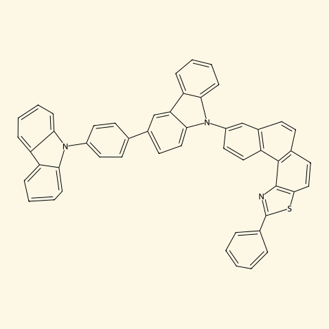 c1ccc(-c2nc3c(ccc4ccc5cc(-n6c7ccccc7c7cc(-c8ccc(-n9c%10ccccc%10c%10ccccc%109)cc8)ccc76)ccc5c43)s2)cc1